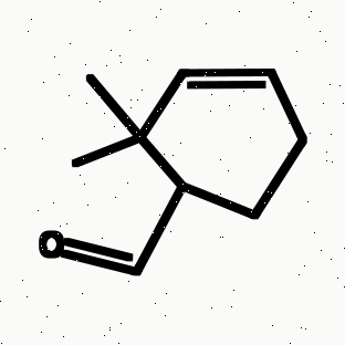 CC1(C)C=CCCC1C=O